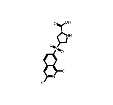 O=C(O)[C@@H]1CC(S(=O)(=O)c2ccc3cc(Cl)nc(Cl)c3c2)CN1